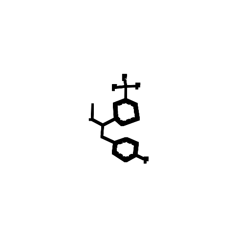 C[CH]C(Cc1ccc(F)cc1)c1cccc(C(F)(F)F)c1